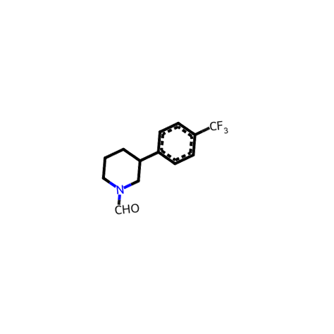 O=CN1CCCC(c2ccc(C(F)(F)F)cc2)C1